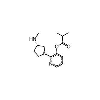 CN[C@H]1CCN(c2ncccc2OC(=O)C(C)C)C1